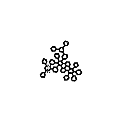 c1ccc(-c2cc(-c3ccccc3)cc(-c3cccc(-c4c(-c5ccccc5)c(-c5ccccc5)c(-c5cccc(-c6nc(-c7ccccc7)cc(-c7ccccc7)n6)c5)c5c6cccc7c8c(-c9ccccc9)c(-c9ccccc9)c(-c9ccccc9)c(-c9ccccc9)c8c8cccc(c45)c8c76)c3)c2)cc1